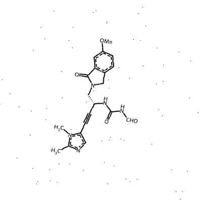 COc1ccc2c(c1)C(=O)N(C[C@@H](C#Cc1cnc(C)n1C)NC(=O)NC=O)C2